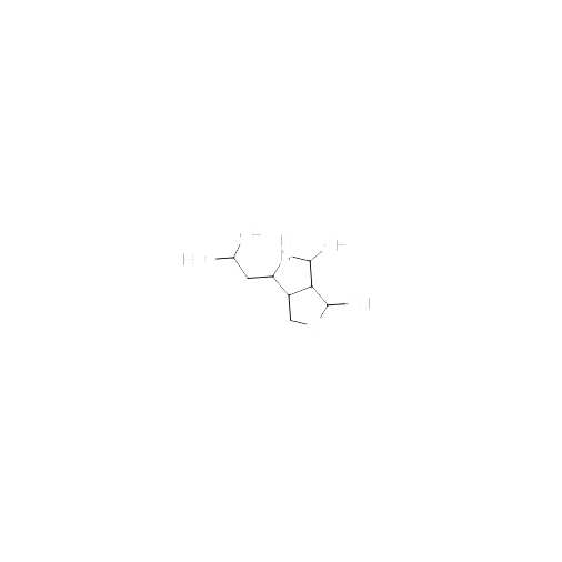 CC(C)CC1NC(C)C2C(C)OCC12